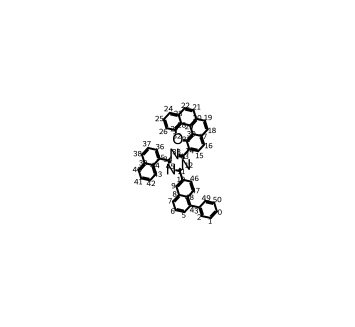 c1ccc(-c2cccc3cc(-c4nc(-c5ccc6ccc7ccc8cccc9c8c7c6c5O9)nc(-c5cccc6ccccc56)n4)ccc23)cc1